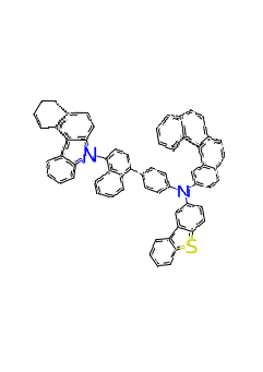 C1=Cc2c(ccc3c2c2ccccc2n3-c2ccc(-c3ccc(N(c4ccc5sc6ccccc6c5c4)c4ccc5ccc6ccc7ccccc7c6c5c4)cc3)c3ccccc23)CC1